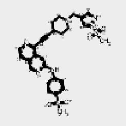 CS(=O)(=O)c1ccc(Nc2cc3c(C#CC4CCN(Cc5cnn(S(C)(=O)=O)c5)CC4)nccc3cn2)cc1